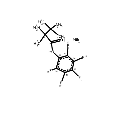 Br.CC(C)(C)C(C)(N)C(=O)Oc1c(F)c(F)c(F)c(F)c1F